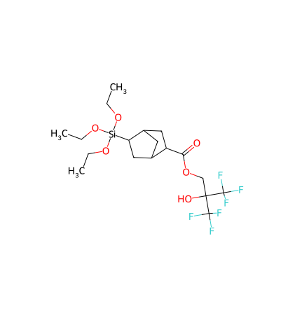 CCO[Si](OCC)(OCC)C1CC2CC1CC2C(=O)OCC(O)(C(F)(F)F)C(F)(F)F